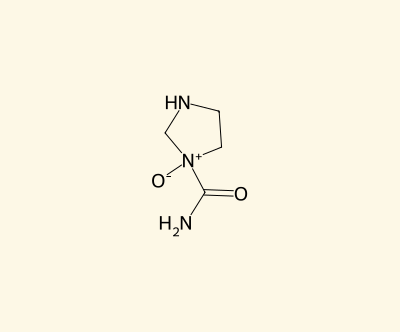 NC(=O)[N+]1([O-])CCNC1